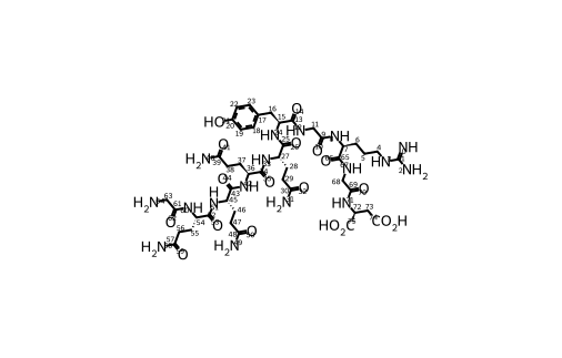 N=C(N)NCCC[C@H](NC(=O)CNC(=O)[C@H](Cc1ccc(O)cc1)NC(=O)[C@H](CCC(N)=O)NC(=O)[C@H](CCC(N)=O)NC(=O)[C@H](CCC(N)=O)NC(=O)[C@H](CCC(N)=O)NC(=O)CN)C(=O)NCC(=O)N[C@@H](CC(=O)O)C(=O)O